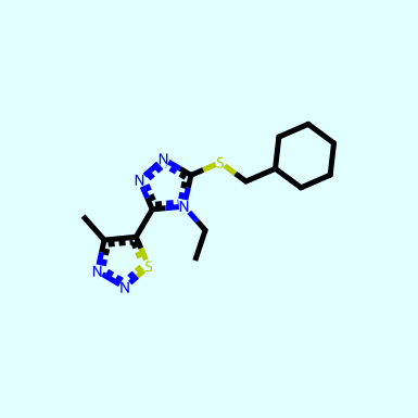 CCn1c(SCC2CCCCC2)nnc1-c1snnc1C